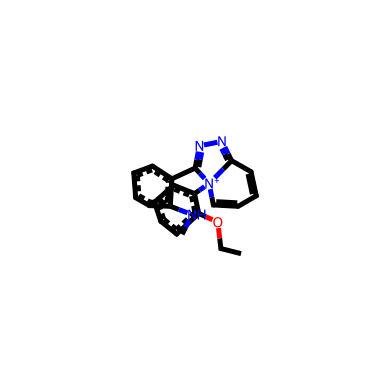 CCOc1ccccc1[N+]12C=CC=CC1=NN=C2c1ccccc1NC